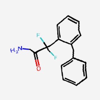 NC(=O)C(F)(F)c1ccccc1-c1ccccc1